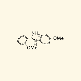 COc1ccc(NC(N)c2ccccc2OC)cc1